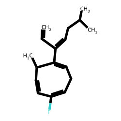 C=CC(=C\CC(C)C)/C1=C/C/C=C(F)\C=C/C1C